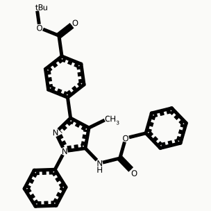 Cc1c(-c2ccc(C(=O)OC(C)(C)C)cc2)nn(-c2ccccc2)c1NC(=O)Oc1ccccc1